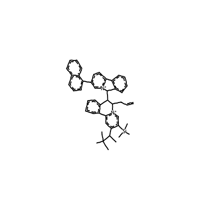 C=CCC1C(C2c3ccccc3-c3ccc(-c4cccc5ccccc45)c[n+]32)c2ccccc2-c2cc(C(C)C(C)(C)C)c([Si](C)(C)C)c[n+]21